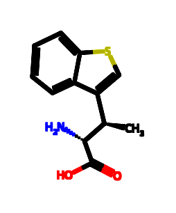 C[C@H](c1csc2ccccc12)[C@@H](N)C(=O)O